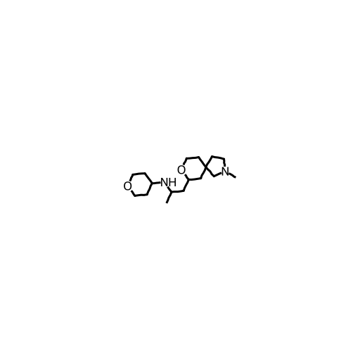 CC(CC1CC2(CCO1)CCN(C)C2)NC1CCOCC1